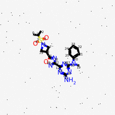 CC(C)S(=O)(=O)N1CC(c2nc(-c3nc(N)nc(N(C)c4ccccc4)n3)no2)C1